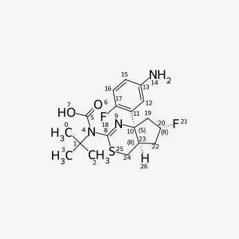 CC(C)(C)N(C(=O)O)C1=N[C@@]2(c3cc(N)ccc3F)C[C@H](F)C[C@H]2CS1